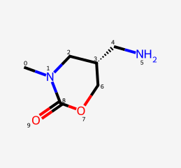 CN1C[C@H](CN)COC1=O